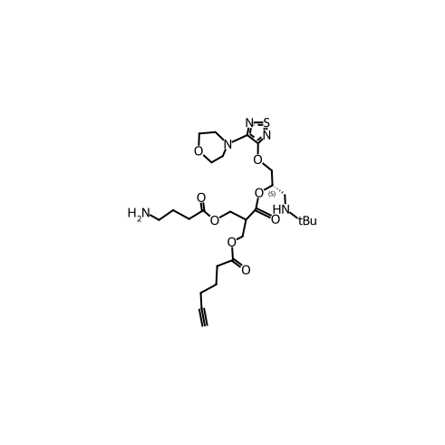 C#CCCCC(=O)OCC(COC(=O)CCCN)C(=O)O[C@@H](CNC(C)(C)C)COc1nsnc1N1CCOCC1